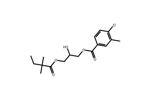 CCC(C)(C)C(=O)OCC(O)COC(=O)c1ccc(Cl)c(I)c1